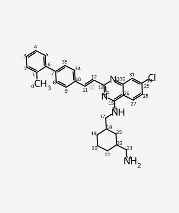 Cc1ccccc1-c1ccc(/C=C/c2nc(NCC3CCCC(CN)C3)c3ccc(Cl)cc3n2)cc1